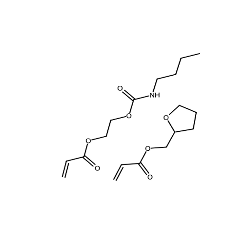 C=CC(=O)OCC1CCCO1.C=CC(=O)OCCOC(=O)NCCCC